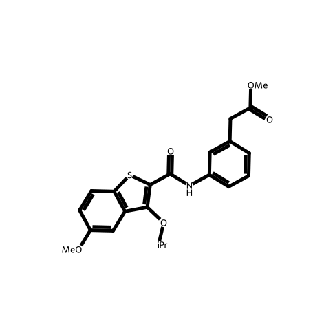 COC(=O)Cc1cccc(NC(=O)c2sc3ccc(OC)cc3c2OC(C)C)c1